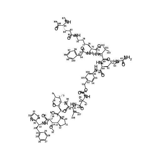 CC[C@H](C)[C@@H]([C@@H](CC(=O)N1CCC[C@H]1[C@H](OC)[C@@H](C)C(=O)N[C@@H](Cc1ccccc1)c1nccs1)OC)N(C)C(=O)[C@@H](NC(=O)C(C)(C)NC(=O)OCc1ccc(NC(=O)[C@H](CCCNC(N)=O)NC(=O)[C@@H](NC(=O)[C@H](CCCCNC(=O)CC[C@@H](NC)C(C)=O)NC(=O)Cc2ccccc2)C(C)C)cc1)C(C)C